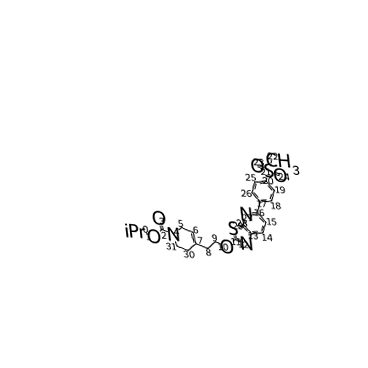 CC(C)OC(=O)N1CC=C(CCOc2nc3ccc(-c4ccc(S(C)(=O)=O)cc4)nc3s2)CC1